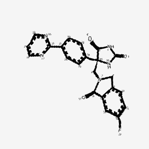 O=C1NC(=O)[C@@](CN2Cc3ccc(F)cc3C2=O)(c2ccc(-c3ncccn3)cc2)N1